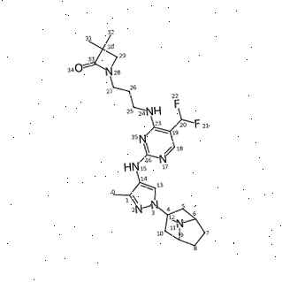 Cc1nn(C2CC3CCC(C2)N3C)cc1Nc1ncc(C(F)F)c(NCCCN2CC(C)(C)C2=O)n1